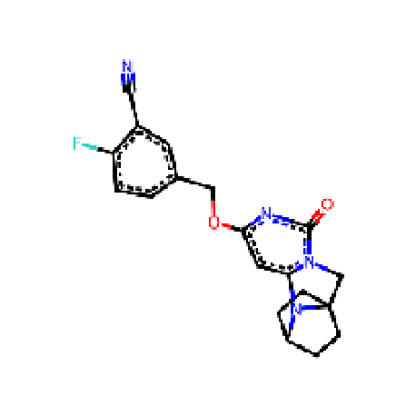 N#Cc1cc(COc2cc3n(c(=O)n2)CC24CCC(CC2)N34)ccc1F